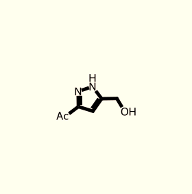 CC(=O)c1cc(CO)[nH]n1